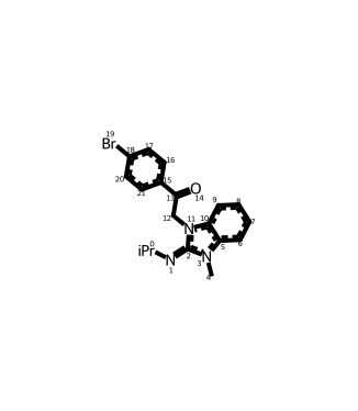 CC(C)N=c1n(C)c2ccccc2n1CC(=O)c1ccc(Br)cc1